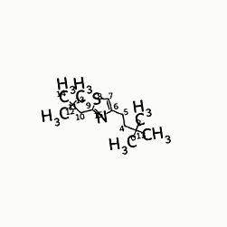 CC(C)(C)CCc1csc(CC(C)(C)C)n1